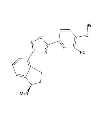 [C-]#[N+]c1cc(-c2nc(-c3cccc4c3CC[C@H]4NC)no2)ccc1OC(C)C